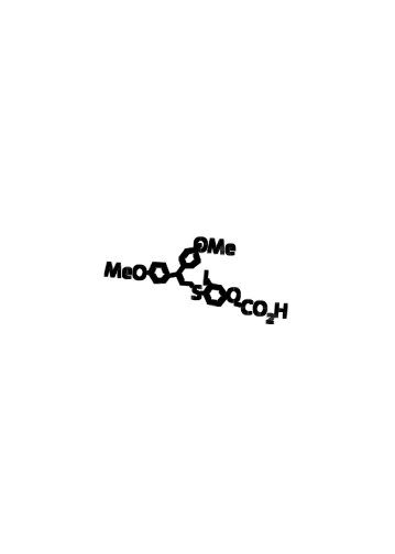 COc1ccc(C(=CCSc2ccc(OCC(=O)O)cc2I)c2ccc(OC)cc2)cc1